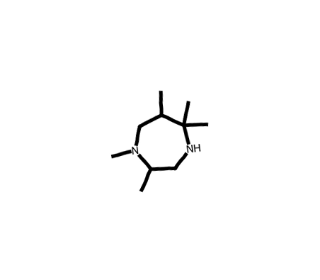 CC1CNC(C)(C)C(C)CN1C